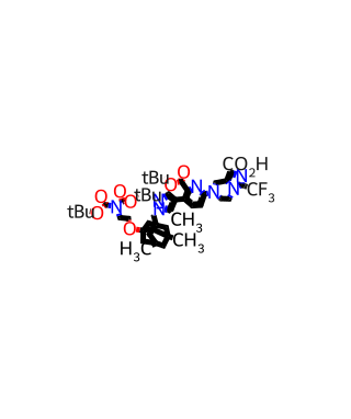 Cc1c(-c2ccc(N3CCn4c(C(F)(F)F)nc(C(=O)O)c4C3)nc2C(=O)OC(C)(C)C)cnn1CC12CC3(C)CC(C)(C1)CC(OCCN(C(=O)OC(C)(C)C)C(=O)OC(C)(C)C)(C3)C2